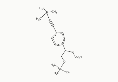 CC(C)(C)[Si](C)(C)OCC(NC(=O)O)c1ccc(C#C[Si](C)(C)C)cc1